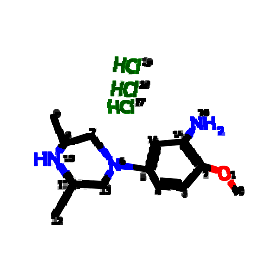 COc1ccc(N2CC(C)NC(C)C2)cc1N.Cl.Cl.Cl